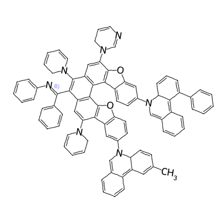 CC1=CC2=c3ccccc3=CN(c3ccc4oc5c(c(N6C=CC=CC6)cc6c(/C(=N/c7ccccc7)c7ccccc7)c(N7C=CC=CC7)c7cc(N8C=NC=CC8)c8oc9cc(N%10C=c%11ccccc%11=C%11C(c%12ccccc%12)=CC=CC%11%10)ccc9c8c7c65)c4c3)C2C=C1